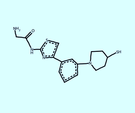 NCC(=O)Nc1nc(-c2cccc(N3CCC(S)CC3)c2)cs1